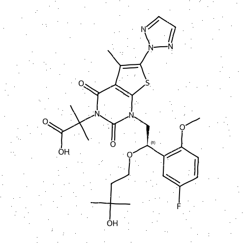 COc1ccc(F)cc1[C@H](Cn1c(=O)n(C(C)(C)C(=O)O)c(=O)c2c(C)c(-n3nccn3)sc21)OCCC(C)(C)O